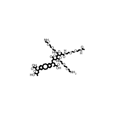 CC(=O)NCCOCCOCCNC(=O)C(C)CC(CC(CC(CC(CC(C)C(=O)O)c1ccc2c(c1)CCc1ccc(C(CC(C)C(=O)O)CC(C)C(=O)O)cc1CC2)C(=O)O)C(=O)NCCOCCOCCN)C(=O)NCCOCCOCCN